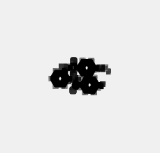 Nc1ccc(S(=O)(=O)Nc2ccccc2NC(=O)c2ccc(F)cc2)cc1